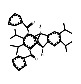 CC(C)c1cc2c(cc1C(C)C)[C@H]1c3cc(C(C)C)c(C(C)C)cc3[C@H]2C(OC(=O)c2ccccc2)C1OC(=O)c1ccccc1